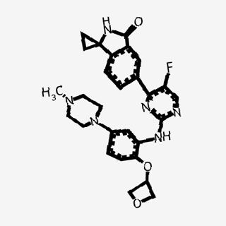 CN1CCN(c2ccc(OC3COC3)c(Nc3ncc(F)c(-c4ccc5c(c4)C(=O)NC54CC4)n3)c2)CC1